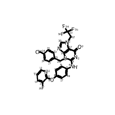 O=c1nc(Nc2ccc(Oc3ncccc3F)cc2)n(Cc2ccc(Cl)cc2)c2ncn(CC(F)(F)F)c12